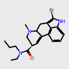 CCCN(CC)C(=O)[C@@H]1C=C2c3cccc4[nH]c(Br)c(c34)CC2N(C)C1